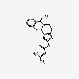 CC(C)=CC(=O)Oc1cc2c(s1)CCN(C(C(=O)O)c1ccccc1Cl)C2